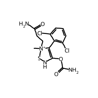 C[N+]1(CCC(N)=O)SNC(OC(N)=O)=C1c1c(Cl)cccc1Cl